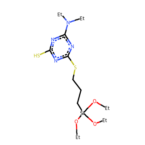 CCO[Si](CCCSc1nc(S)nc(N(CC)CC)n1)(OCC)OCC